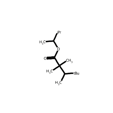 CC(C)C(C)OC(=O)C(C)(C)C(C)C(C)(C)C